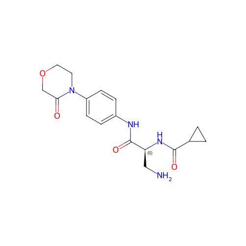 NC[C@H](NC(=O)C1CC1)C(=O)Nc1ccc(N2CCOCC2=O)cc1